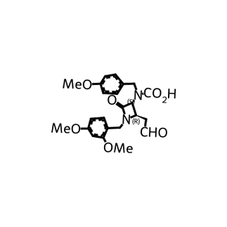 COc1ccc(CN(C(=O)O)[C@@H]2C(=O)N(Cc3ccc(OC)cc3OC)[C@@H]2CC=O)cc1